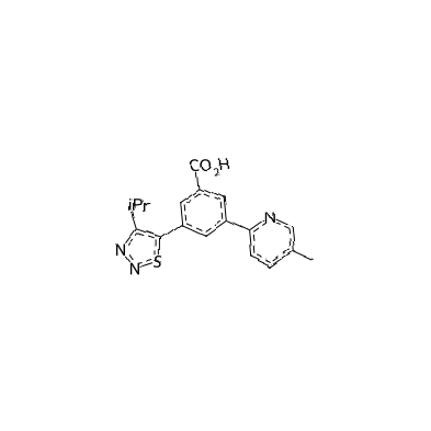 Cc1ccc(-c2cc(C(=O)O)cc(-c3snnc3C(C)C)c2)nc1